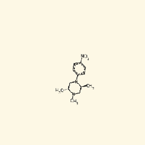 C[C@@H]1CN(c2ccc([N+](=O)[O-])cc2)[C@@H](C)CN1C